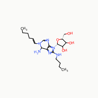 CCCCC=CN1C=Nc2c(nc(NCCCC)n2[C@@H]2O[C@H](CO)C(O)C2O)C1N